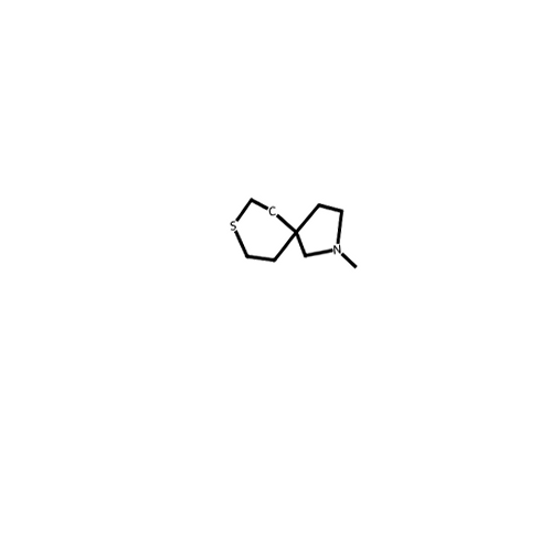 CN1CCC2(CCSCC2)C1